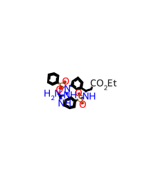 CCOC(=O)CC(NS(=O)(=O)c1ccccc1)c1cccc(N(NC(=N)N)S(=O)(=O)c2ccccc2)c1